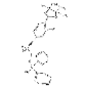 CC1(C)OB(c2ccc(C#CC3(CO[Si](c4ccccc4)(c4ccccc4)C(C)(C)C)CC3)cc2F)OC1(C)C